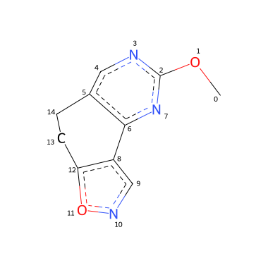 COc1ncc2c(n1)-c1cnoc1CC2